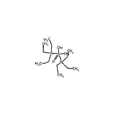 CC[Si](CC)(CC)S(=O)(O)(O)[Si](CC)(CC)CC